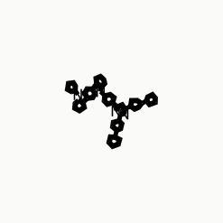 c1ccc(-c2ccc(-c3cc(-c4ccc(-n5c6ccccc6c6cc7c(cc65)c5ccccc5n7-c5ccccc5)cc4)nc(-c4ccc(-c5ccccc5)cc4)n3)cc2)cc1